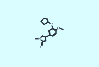 COc1ccc(C2CC(=O)N(C)C2)cc1OC1CCCC1